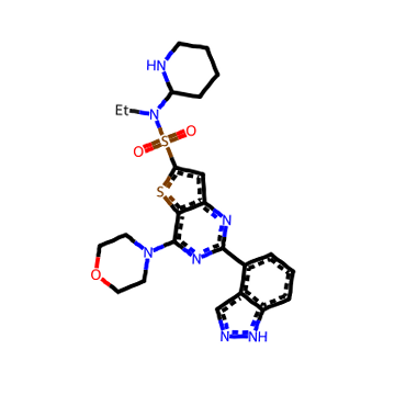 CCN(C1CCCCN1)S(=O)(=O)c1cc2nc(-c3cccc4[nH]ncc34)nc(N3CCOCC3)c2s1